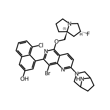 Oc1cc(-c2nc(OC[C@@]34CCCN3C[C@H](F)C4)c3ccc(N4CC5CCC(C4)N5)nc3c2Br)c2c(Cl)cccc2c1